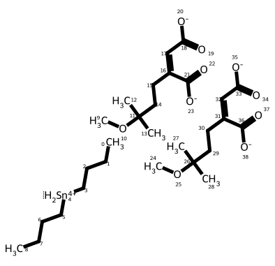 CCC[CH2][SnH2+4][CH2]CCC.COC(C)(C)CC/C(=C/C(=O)[O-])C(=O)[O-].COC(C)(C)CC/C(=C/C(=O)[O-])C(=O)[O-]